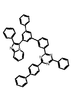 c1ccc(-c2ccc(-c3nc(-c4ccccc4)nc(-c4cccc(-c5cc(-c6ccccc6)cc(-c6c(-c7ccccc7)nc7ccccn67)c5)c4)n3)cc2)cc1